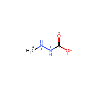 CNNC(=O)O